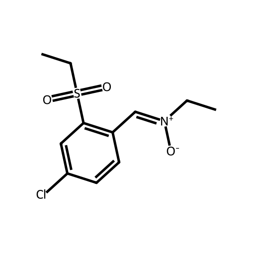 CC/[N+]([O-])=C/c1ccc(Cl)cc1S(=O)(=O)CC